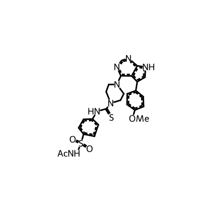 COc1ccc(-c2c[nH]c3ncnc(N4CCN(C(=S)Nc5ccc(S(=O)(=O)NC(C)=O)cc5)CC4)c23)cc1